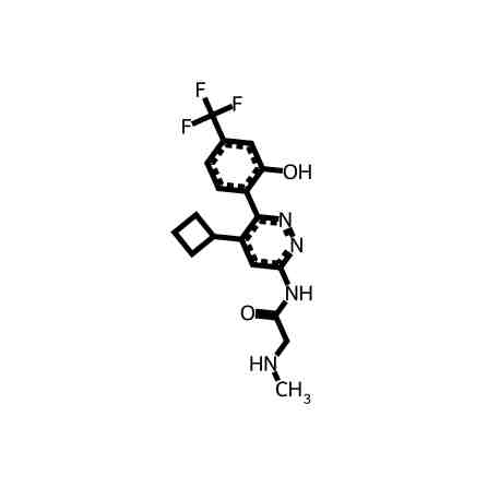 CNCC(=O)Nc1cc(C2CCC2)c(-c2ccc(C(F)(F)F)cc2O)nn1